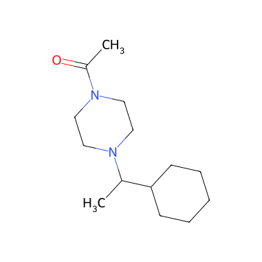 CC(=O)N1CCN(C(C)C2CCCCC2)CC1